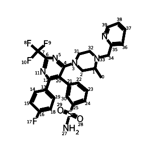 CC1CN(c2nc(C(F)(F)F)nc(-c3ccc(F)cc3)c2-c2cccc(S(N)(=O)=O)c2)CCN1Cc1ccccn1